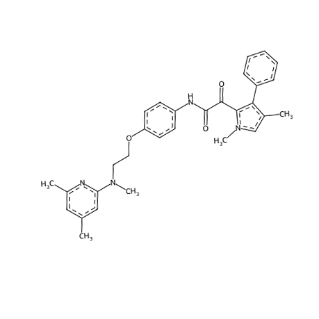 Cc1cc(C)nc(N(C)CCOc2ccc(NC(=O)C(=O)c3c(-c4ccccc4)c(C)cn3C)cc2)c1